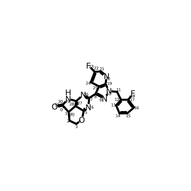 C[C@@]12CCOc3nc(-c4nn(Cc5ccccc5F)c5ncc(F)cc45)nc(c31)NC2=O